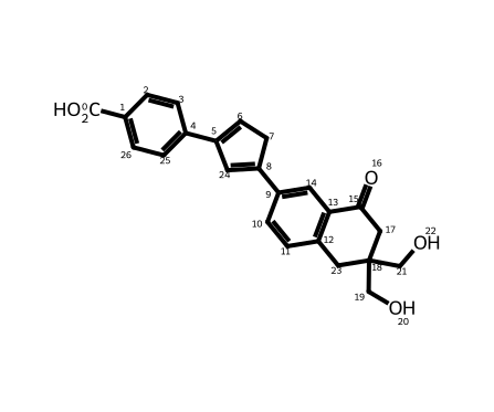 O=C(O)c1ccc(C2=CCC(c3ccc4c(c3)C(=O)CC(CO)(CO)C4)=C2)cc1